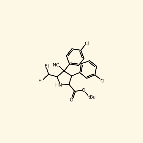 CCC(CC)C1NC(C(=O)OC(C)(C)C)C(c2cccc(Cl)c2)C1(C#N)c1ccc(Cl)cc1